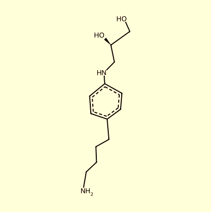 NCCCCc1ccc(NC[C@@H](O)CO)cc1